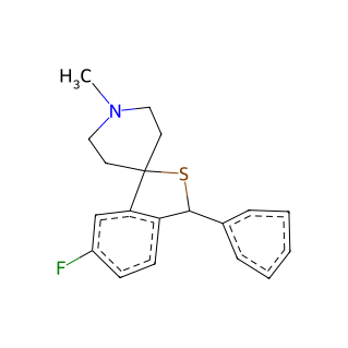 CN1CCC2(CC1)SC(c1ccccc1)c1ccc(F)cc12